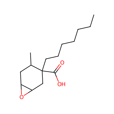 CCCCCCCC1(C(=O)O)CC2OC2CC1C